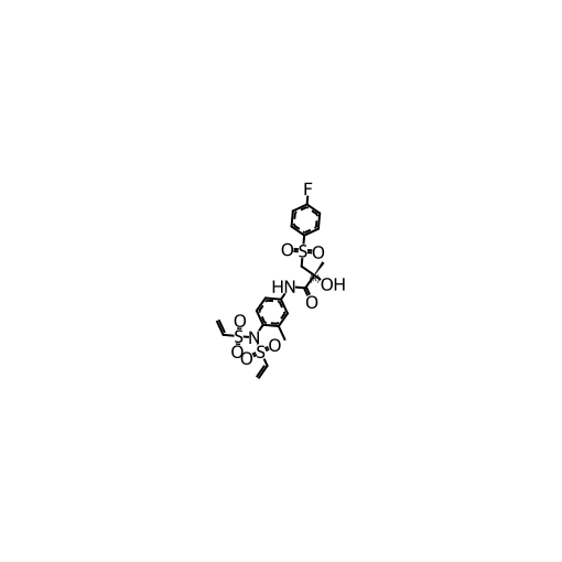 C=CS(=O)(=O)N(c1ccc(NC(=O)[C@@](C)(O)CS(=O)(=O)c2ccc(F)cc2)cc1C)S(=O)(=O)C=C